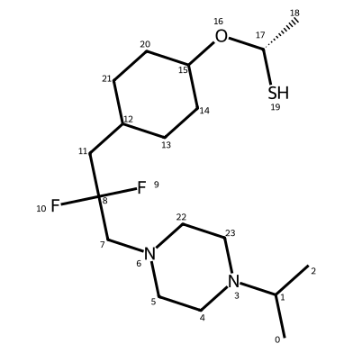 CC(C)N1CCN(CC(F)(F)CC2CCC(O[C@H](C)S)CC2)CC1